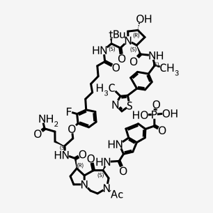 CC(=O)N1CCN2CC[C@@H](C(=O)N[C@@H](CCC(N)=O)COc3cccc(CCCCCC(=O)N[C@H](C(=O)N4C[C@H](O)C[C@H]4C(=O)N[C@@H](C)c4ccc(-c5scnc5C)cc4)C(C)(C)C)c3F)C2C(=O)[C@@H](NC(=O)c2cc3cc(C(=O)P(=O)(O)O)ccc3[nH]2)C1